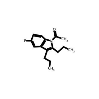 CCCc1c(CCC)n(C(C)=O)c2ccc(F)cc12